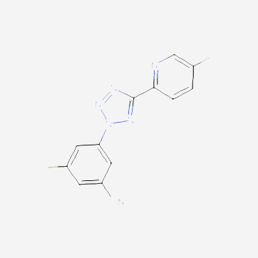 N#Cc1cc(F)cc(-n2nnc(-c3ccc(F)cn3)n2)c1